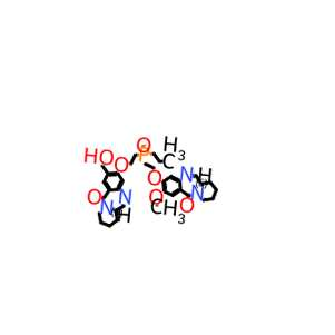 CCCP(=O)(CCOc1cc2c(cc1CO)C(=O)N1CCCC[C@H]1C=N2)CCOc1cc2c(cc1OC)C(=O)N1CCCC[C@H]1C=N2